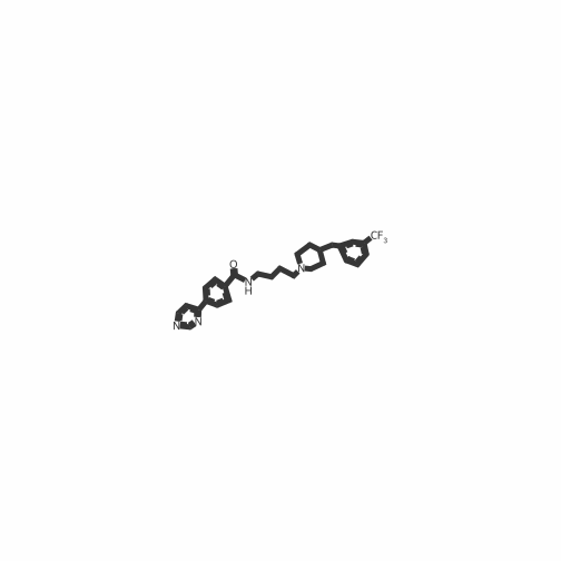 O=C(NCCCCN1CCC(Cc2cccc(C(F)(F)F)c2)CC1)c1ccc(-c2ccncn2)cc1